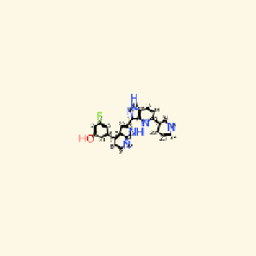 Oc1cc(F)cc(-c2ccnc3[nH]c(-c4n[nH]c5ccc(-c6cccnc6)nc45)cc23)c1